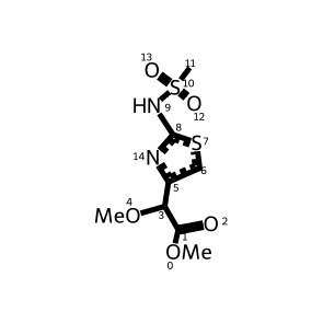 COC(=O)C(OC)c1csc(NS(C)(=O)=O)n1